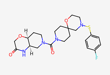 O=C1CO[C@H]2CCN(C(=O)N3CCC4(CC3)CN(Sc3ccc(F)cc3)CCO4)C[C@H]2N1